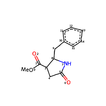 COC(=O)C1CC(=O)NC1Cc1ccccc1